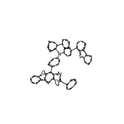 c1ccc(-c2nc3c(-c4ccc(N(c5ccc(-c6cccc7c6sc6ccccc67)cc5)c5ccccc5-c5ccccc5)cc4)c4oc5ccccc5c4cc3o2)cc1